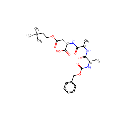 C[C@H](NC(=O)OCc1ccccc1)C(=O)N[C@H](C)C(=O)N[C@@H](CC(=O)OCC[Si](C)(C)C)C(=O)O